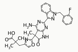 CC(C)(Cc1coc(C2(C)C(=O)Nc3nc(-c4nn(Cc5ccccc5F)c5ccccc45)nc(N)c32)n1)C(=O)O